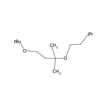 CC(C)CCOC(C)(C)CCOC(C)(C)C